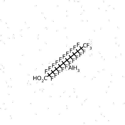 O=C(O)C(F)(F)C(F)(F)C(F)(F)C(F)(F)C(F)(F)C(F)(F)C(F)(F)C(F)(F)C(F)(F)C(F)(F)C(F)(F)F.[AlH3]